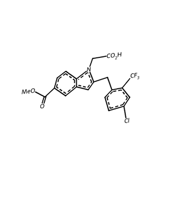 COC(=O)c1ccc2c(c1)cc(Cc1ccc(Cl)cc1C(F)(F)F)n2CC(=O)O